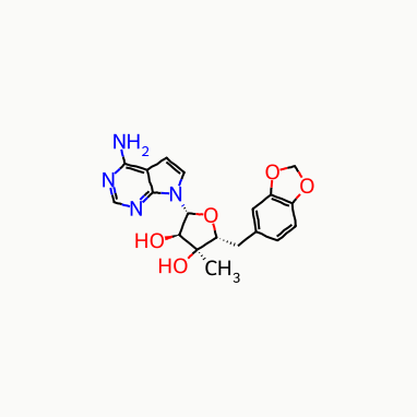 C[C@@]1(O)[C@@H](Cc2ccc3c(c2)OCO3)O[C@@H](n2ccc3c(N)ncnc32)[C@@H]1O